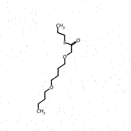 CCCCOCCCCOCC(=O)SCCC